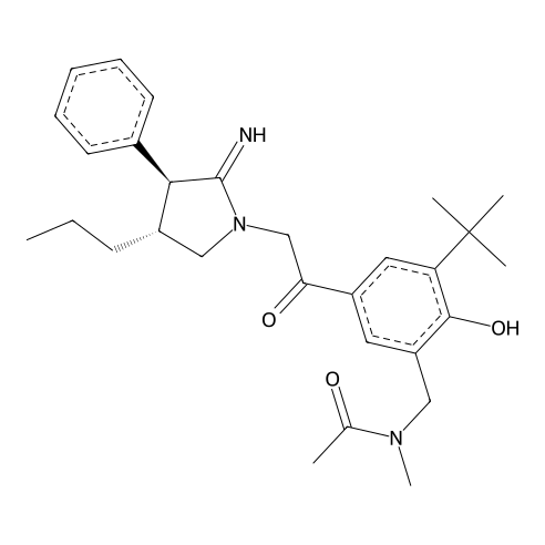 CCC[C@H]1CN(CC(=O)c2cc(CN(C)C(C)=O)c(O)c(C(C)(C)C)c2)C(=N)[C@@H]1c1ccccc1